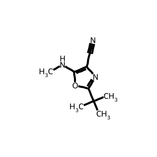 CNc1oc(C(C)(C)C)nc1C#N